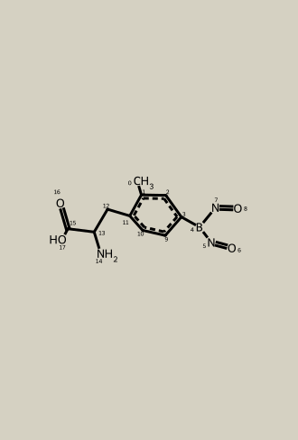 Cc1cc(B(N=O)N=O)ccc1CC(N)C(=O)O